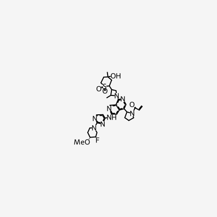 C=CC(=O)N1CCCC1c1cnc(N2CC(C3CC(C)(O)CCS3(=O)=O)C2C)c2cnc(Nc3ccnc(N4CC[C@@H](OC)[C@@H](F)C4)n3)cc12